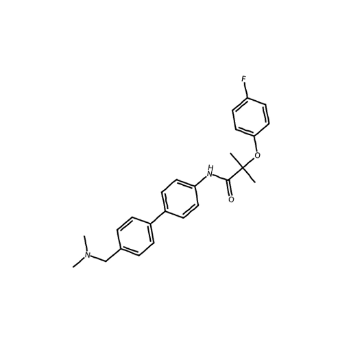 CN(C)Cc1ccc(-c2ccc(NC(=O)C(C)(C)Oc3ccc(F)cc3)cc2)cc1